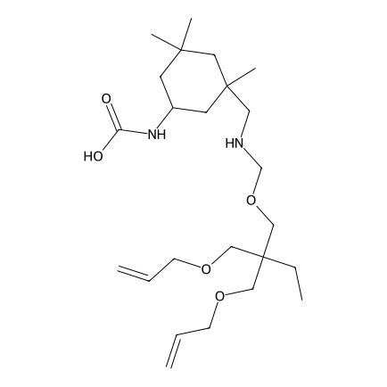 C=CCOCC(CC)(COCC=C)COCNCC1(C)CC(NC(=O)O)CC(C)(C)C1